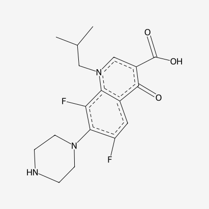 CC(C)Cn1cc(C(=O)O)c(=O)c2cc(F)c(N3CCNCC3)c(F)c21